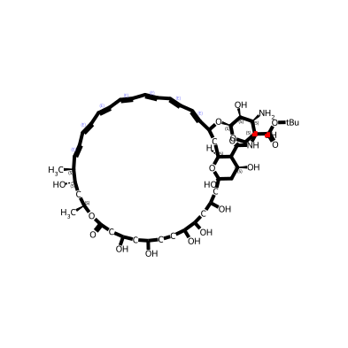 C[C@H]1C[C@H](O)[C@@H](C)/C=C/C=C/C=C/C=C/C=C/C=C/C=C/C(O[C@@H]2OC[C@@H](O)[C@H](N)[C@@H]2O)C[C@@H]2OC(O)(CC(O)CC(O)C(O)CCC(O)CC(O)CC(=O)O1)C[C@H](O)C2C(=O)NCC(=O)OC(C)(C)C